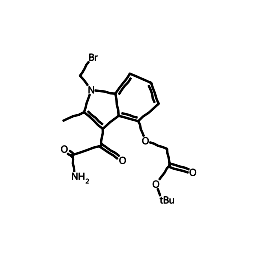 Cc1c(C(=O)C(N)=O)c2c(OCC(=O)OC(C)(C)C)cccc2n1CBr